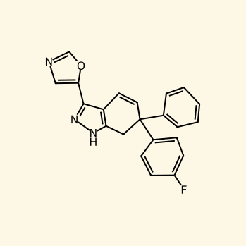 Fc1ccc(C2(c3ccccc3)C=Cc3c(-c4cnco4)n[nH]c3C2)cc1